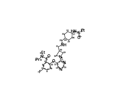 CCN(C(=O)c1cc(F)ccc1Oc1cncnc1N1CC(CNCC2CCC(N[S+]([O-])CC)CC2)C1)C(C)C